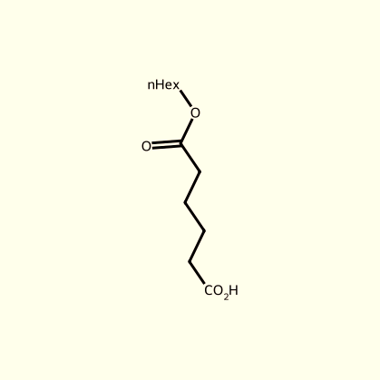 CCCCCCOC(=O)CCCCC(=O)O